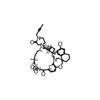 CC#CCN1CCN([C@@]2(O)CCC[C@H](C)[C@@H](C)S(=O)(=O)NC(=O)c3ccc4c(c3)N(C[C@@H]3CC[C@H]32)C[C@@]2(CCCc3cc(Cl)ccc32)CO4)CC1=O